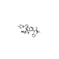 NC(=O)C(c1ccc(-c2nc(N3CCOCC3)cs2)c(S(N)(=O)=O)c1)c1ccccc1Cl